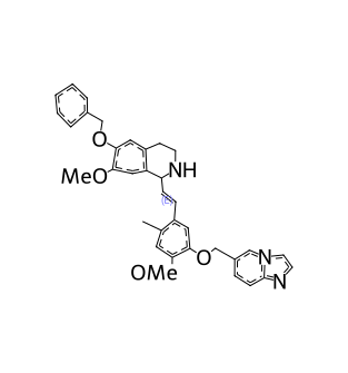 COc1cc(C)c(/C=C/C2NCCc3cc(OCc4ccccc4)c(OC)cc32)cc1OCc1ccc2nccn2c1